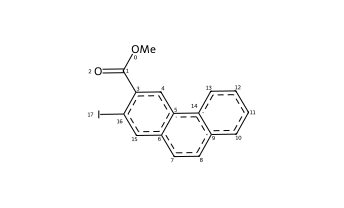 COC(=O)c1cc2c(ccc3ccccc32)cc1I